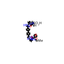 COC(=O)N[C@H](C(=O)N1CCC[C@H]1c1ncc(-c2ccc(-c3ccc(-c4c[nH]c([C@@H]5CCCN5C(=O)[C@H](C(C)C)N(C)C(=O)O)n4)cc3)cc2)[nH]1)C1CCOCC1